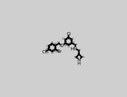 Clc1cc(CNCC2CNC2)cc(OCc2ccc(Cl)cc2Br)c1